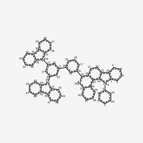 c1ccc(-n2c3ccccc3c3ccc4c(-c5cccc(-c6cc(-n7c8ccccc8c8ccccc87)cc(-n7c8ccccc8c8ccccc87)c6)c5)nc5ccccc5c4c32)cc1